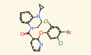 O=C(c1cccnc1Oc1cc(Cl)c(Br)cc1Cl)N1CCN(C2CC2)c2ccccc21